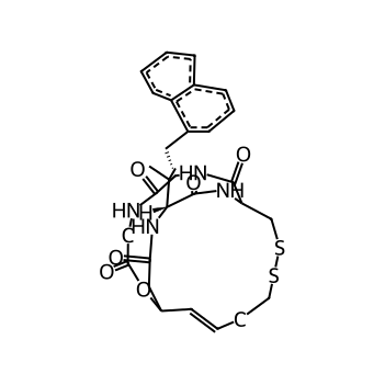 CC(C)[C@H]1NC(=O)CC2/C=C/CCSSCC(NC1=O)C(=O)N[C@@H](Cc1cccc3ccccc13)C(=O)NCC(=O)O2